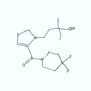 CC(C)(O)CCN1CSC=C1C(=O)N1CCC(F)(F)CC1